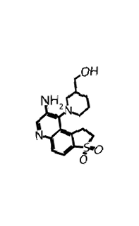 Nc1cnc2ccc3c(c2c1N1CCCC(CO)C1)CCS3(=O)=O